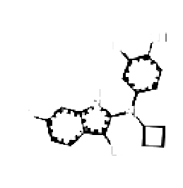 CCc1c(N(c2ccc(C)c(F)c2)C2CCC2)[nH]c2cc(C)ccc12